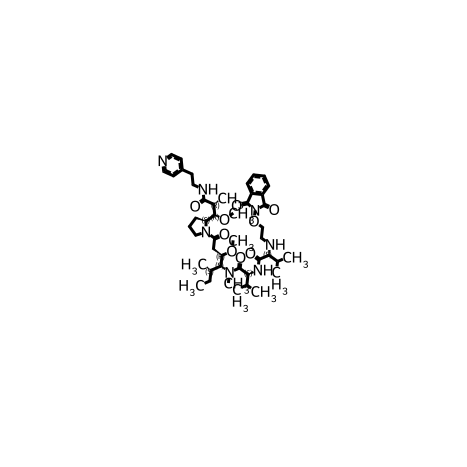 CC[C@H](C)[C@@H]([C@@H](CC(=O)N1CCC[C@H]1[C@H](OC)[C@@H](C)C(=O)NCCc1ccncc1)OC)N(C)C(=O)[C@@H](NC(=O)[C@@H](NCCON1C(=O)c2ccccc2C1=O)C(C)C)C(C)C